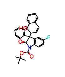 CC(C)(C)OC(=O)N1C(=O)C(c2ccccc2)(C2C=Cc3ccccc3C2O)c2cc(F)ccc21